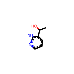 CC(O)c1cccnc1.N